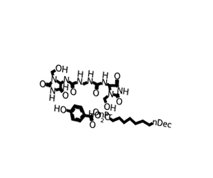 CCCCCCCCCCCCCCCCCC(=O)O.CCCOC(=O)c1ccc(O)cc1.O=C(NCNC(=O)NC1C(=O)NC(=O)N1CO)NC1C(=O)NC(=O)N1CO